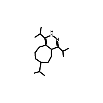 CC(C)C1=NNC(C(C)C)=C2CCCC(C(C)C)CCC12